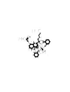 CC(C)(NC(=O)NCc1ccccc1Cl)c1ccccc1.CCCCCC(C)c1ccc2c(Cl)ccc(OCC(=O)O)c2n1